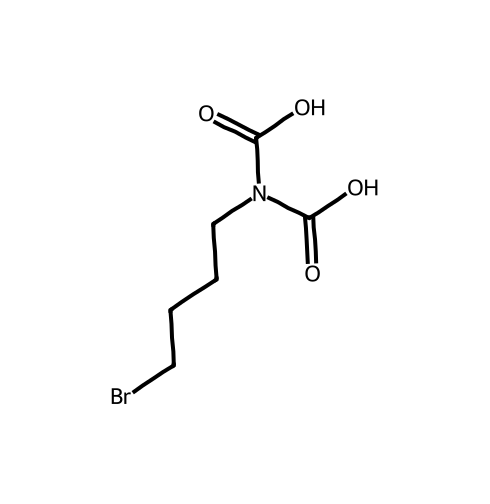 O=C(O)N(CCCCBr)C(=O)O